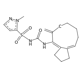 C=C1CCCC/C=C2/CCC/C2=C/1NC(=O)NS(=O)(=O)c1ccnn1C